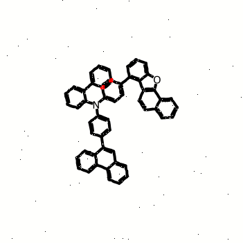 c1ccc(-c2ccccc2N(c2ccc(-c3cc4ccccc4c4ccccc34)cc2)c2ccc(-c3cccc4oc5c6ccccc6ccc5c34)cc2)cc1